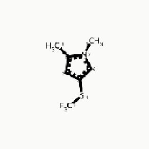 Cc1cc(SC(F)(F)F)cn1C